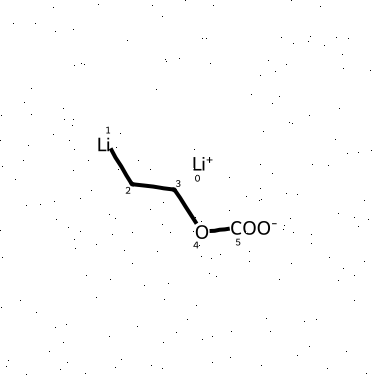 [Li+].[Li][CH2]COC(=O)[O-]